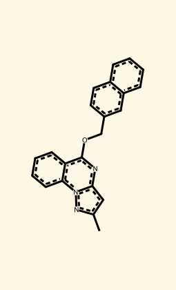 Cc1cc2nc(OCc3ccc4ccccc4c3)c3ccccc3n2n1